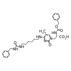 Cc1cn(C[C@H](NC(=O)OCc2ccccc2)C(=O)O)c(=O)nc1NCCCCCCNC(=O)NCc1ccccc1